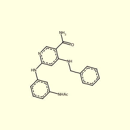 CC(=O)Nc1cccc(Nc2cc(NCc3ccccc3)c(C(N)=O)cn2)c1